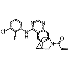 C=CC(=O)N1CCC2C[C@]2(c2ccc3ncnc(Nc4cccc(Cl)c4F)c3c2)C1